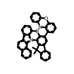 CC1(C)c2ccccc2-c2cc3c4c(c21)-n1c2c(cccc2c2ccc5ccccc5c21)B4N1c2ccccc2Oc2cccc-3c21